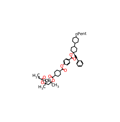 C=CC(=O)OC(C)(C)CC(C)(C)OC(=O)C1CCC(C(=O)Oc2ccc(C(=O)OC3(C#Cc4ccccc4)CCC(C4CCC(CCCCC)CC4)CC3)cc2)CC1